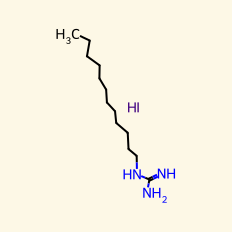 CCCCCCCCCCCCNC(=N)N.I